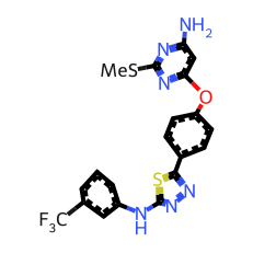 CSc1nc(N)cc(Oc2ccc(-c3nnc(Nc4cccc(C(F)(F)F)c4)s3)cc2)n1